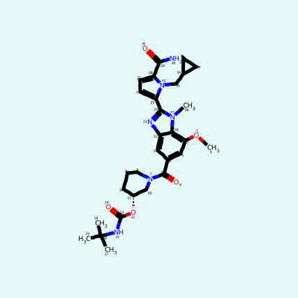 COc1cc(C(=O)N2CCC[C@@H](OC(=O)NC(C)(C)C)C2)cc2nc(-c3ccc(C(N)=O)n3CC3CC3)n(C)c12